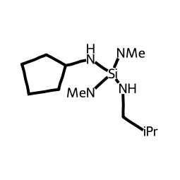 CN[Si](NC)(NCC(C)C)NC1CCCC1